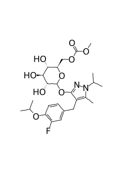 COC(=O)OC[C@H]1OC(Oc2nn(C(C)C)c(C)c2Cc2ccc(OC(C)C)c(F)c2)[C@H](O)[C@@H](O)[C@@H]1O